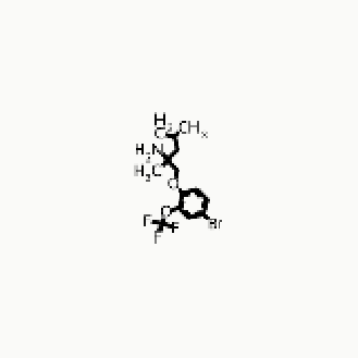 CC(C)CC(C)(N)COc1ccc(Br)cc1OC(F)(F)F